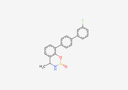 CC1NS(=O)Oc2c(-c3ccc(-c4cccc(F)c4)cc3)cccc21